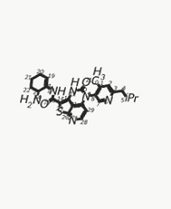 Cc1cc(CC(C)C)ncc1N1C(=O)Nc2c(C(=O)NC3=CCCC[C@@H]3N)sc3nccc1c23